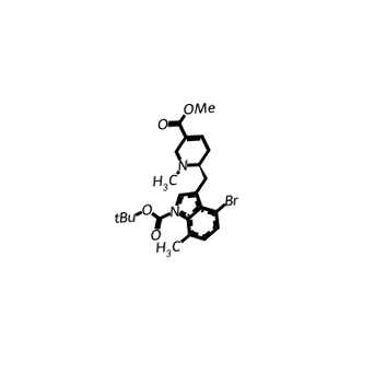 COC(=O)C1=CC[C@@H](Cc2cn(C(=O)OC(C)(C)C)c3c(C)ccc(Br)c23)N(C)C1